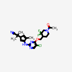 CC(=O)N1CCC(COc2nc(NC3=CC(C(C)(C)C#N)C=C3C)ncc2Cl)C(F)(F)C1